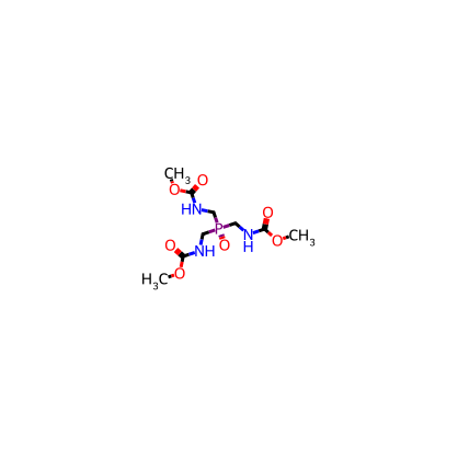 COC(=O)NCP(=O)(CNC(=O)OC)CNC(=O)OC